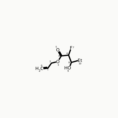 C=CCOC(=O)C(F)C(O)CC